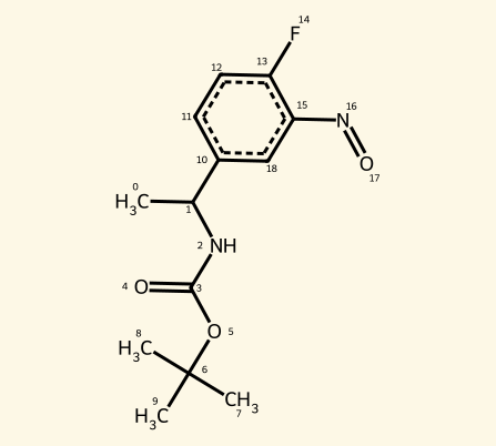 CC(NC(=O)OC(C)(C)C)c1ccc(F)c(N=O)c1